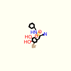 N#C/C(=C/c1cc(O)c(O)c(Br)c1)S(=O)(=O)NCc1ccccc1